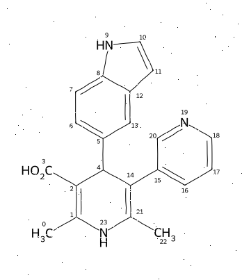 CC1=C(C(=O)O)C(c2ccc3[nH]ccc3c2)C(c2cccnc2)=C(C)N1